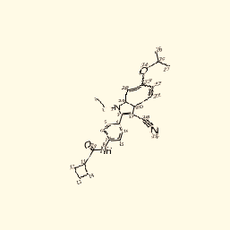 CCN1C(c2ccc(NC(=O)C3CCC3)cc2)=C(C#N)C2C=CC(OC(C)C)=CC21